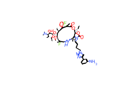 CCO[C@@H](O[C@@H]1[C@@H](C)C(=O)C(C)(F)C(=O)O[C@H](CC)[C@@]2(C)OC(=O)N(CCCCn3cc(-c4cccc(N)c4)nn3)[C@@H]2[C@@H](C)NCC(C)(F)C[C@@]1(C)OC)C(O)C(CC)N(C)C